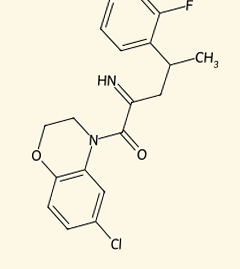 CC(CC(=N)C(=O)N1CCOc2ccc(Cl)cc21)c1ccccc1F